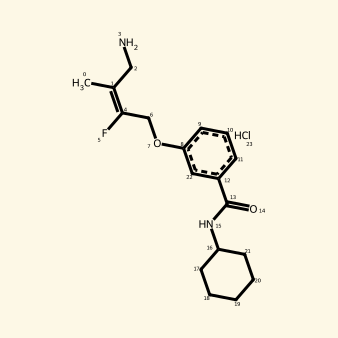 CC(CN)=C(F)COc1cccc(C(=O)NC2CCCCC2)c1.Cl